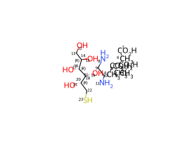 CC(=O)O.CC(=O)O.CC(=O)O.CC(=O)O.NCCN.OC[C@@H](O)[C@@H](O)[C@H](O)[C@@H](O)CS